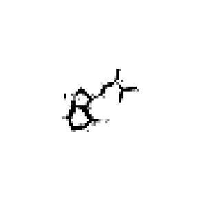 CC(C)N(C)CC[C@@H]1CNc2cccc(F)c21